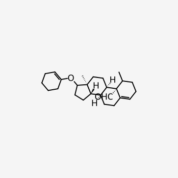 CC1CCC=C2CC[C@@H]3[C@@H](CC[C@]4(C)C(OC5=CCCCC5)CC[C@@H]34)[C@]21C=O